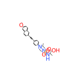 COc1ccc2cc(C#Cc3ccc(N4CCN(S(=O)(=O)NC(C)C(=O)O)CC4C)cc3)ccc2c1